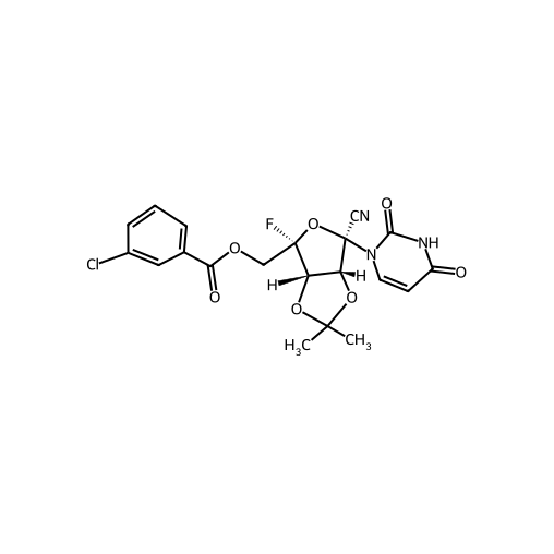 CC1(C)O[C@@H]2[C@H](O1)[C@@](F)(COC(=O)c1cccc(Cl)c1)O[C@@]2(C#N)n1ccc(=O)[nH]c1=O